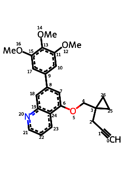 C#CCC1(COc2cc(-c3cc(OC)c(OC)c(OC)c3)cc3ncccc23)CC1